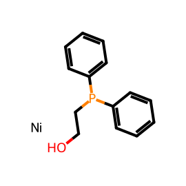 OCCP(c1ccccc1)c1ccccc1.[Ni]